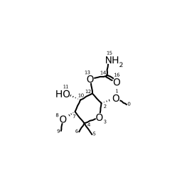 CO[C@@H]1OC(C)(C)[C@H](OC)[C@H](O)C1OC(N)=O